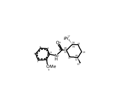 COc1ccccc1NC(=O)[C@@H]1C[C@H](C)CC[C@H]1C(C)C